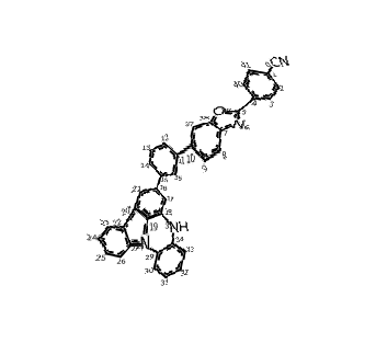 N#Cc1ccc(-c2nc3ccc(-c4cccc(-c5cc6c7c(c5)c5ccccc5n7-c5ccccc5N6)c4)cc3o2)cc1